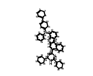 C1=CCCC(C2=CC=C(N(c3ccccc3)c3cccc4c3sc3cc(C5=NC(C6C=CC=CC6)NC(C6=CCCC=C6)=N5)c5ccccc5c34)CC2)=C1